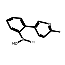 OB(O)c1ccccc1-c1ccc(F)nc1